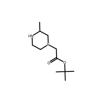 CC1CN(CC(=O)OC(C)(C)C)CCN1